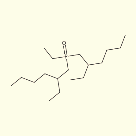 CCCCC(CC)CP(=O)(CC)CC(CC)CCCC